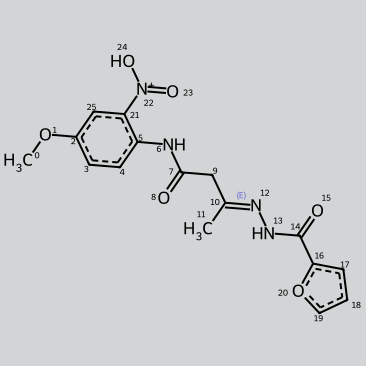 COc1ccc(NC(=O)C/C(C)=N/NC(=O)c2ccco2)c([N+](=O)O)c1